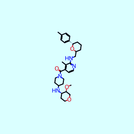 CO[C@H]1COCC[C@H]1NC1CCN(C(=O)c2ccnc(NCC3CCC[C@@H](c4ccc(C)cc4)O3)c2C)CC1